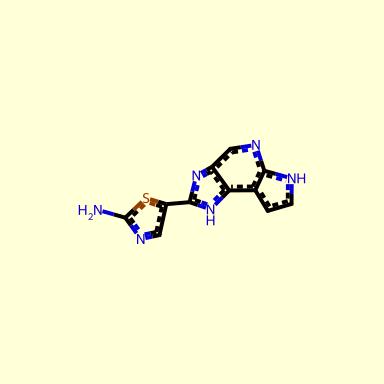 Nc1ncc(-c2nc3cnc4[nH]ccc4c3[nH]2)s1